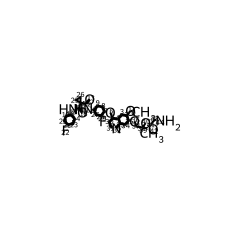 COc1cc2c(Oc3ccc(NC(=O)C4(C(=O)Nc5ccc(F)cc5)CC4)cc3F)ccnc2cc1OCC(C)OC(=O)CN